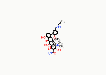 CCCNCc1ccc(OC)c(-c2ccc(O)c3c2C[C@H]2C[C@H]4C(N(C)C)C(O)=C(C(N)=O)C(=O)[C@@]4(O)C(O)=C2C3=O)c1